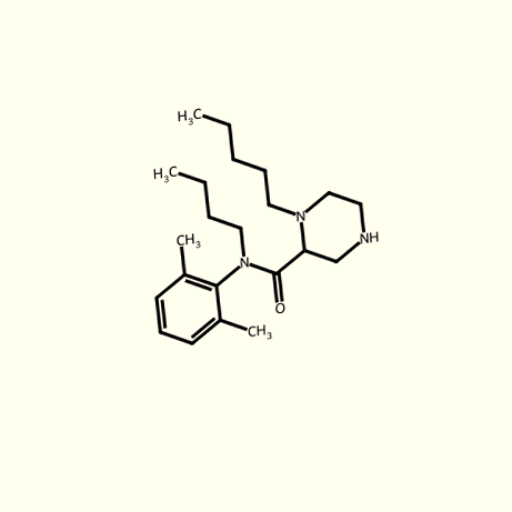 CCCCCN1CCNCC1C(=O)N(CCCC)c1c(C)cccc1C